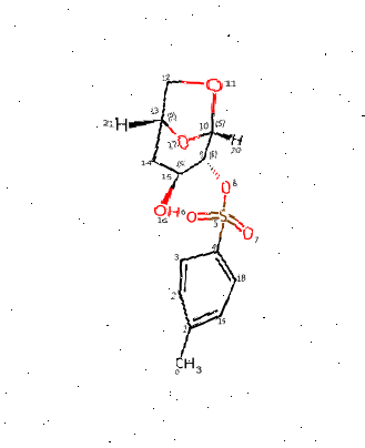 Cc1ccc(S(=O)(=O)O[C@H]2[C@H]3OC[C@@H](C[C@@H]2O)O3)cc1